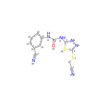 N#CCSc1nnc(NC(=O)Nc2cccc(C#N)c2)s1